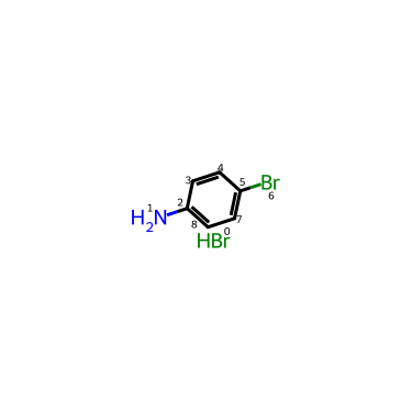 Br.Nc1ccc(Br)cc1